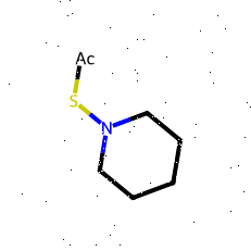 CC(=O)SN1CCCCC1